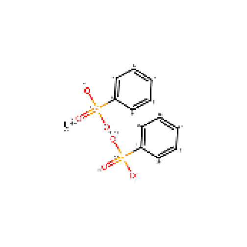 O=P([O-])([O-])c1ccccc1.O=P([O-])([O-])c1ccccc1.[U+4]